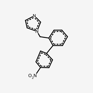 O=[N+]([O-])c1ccc(-c2ccccc2Cn2ccnc2)cc1